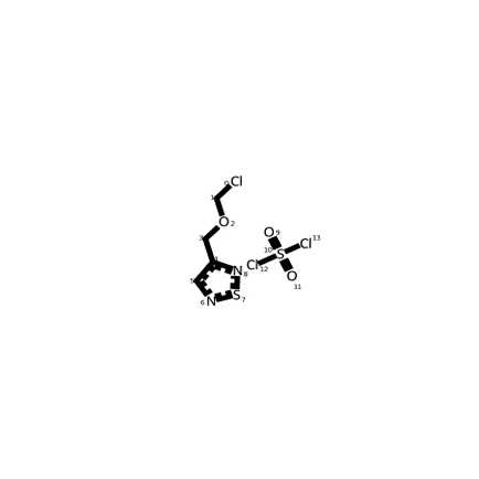 ClCOCc1cnsn1.O=S(=O)(Cl)Cl